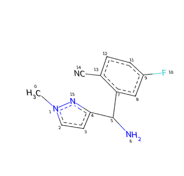 Cn1ccc(C(N)c2cc(F)ccc2C#N)n1